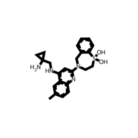 Cc1ccc2nc(N3CCS(O)(O)c4ccccc4C3)cc(NCC3(N)CC3)c2c1